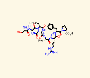 CC(C)C[C@H](NC(=O)[C@H](CC(N)=O)NC(=O)[C@H](CC(=O)O)NC(=O)CNC(=O)[C@@H](N)CO)C(=O)N[C@@H](CCCNC(=N)N)C(=O)N[C@@H](Cc1ccccc1)C(=O)N1CCC[C@H]1C(=O)O